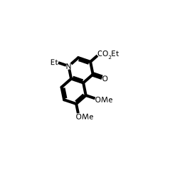 CCOC(=O)c1cn(CC)c2ccc(OC)c(OC)c2c1=O